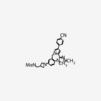 C=N/N=C1/c2cc(-c3ccc(C#N)cc3)cn2Cc2cc(N3CC(CNC)C3)ccc2N1C